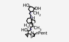 C=C1/C(=C\C=C2/CCC[C@]3(C)[C@@H]([C@H](C)/C=C/[C@H](O)C4(c5nc(CCCCC)cs5)CC4)CC[C@@H]23)C[C@@H](O)C[C@@H]1O